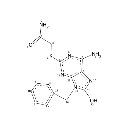 NC(=O)CSc1nc(N)c2nc(O)n(Cc3ccccc3)c2n1